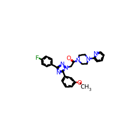 COc1cccc(-c2nc(-c3ccc(F)cc3)nn2CC(=O)N2CCN(c3ccccn3)CC2)c1